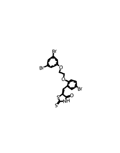 O=C1NC(=S)SC1=Cc1cc(Br)ccc1OCCOc1cc(Br)cc(Br)c1